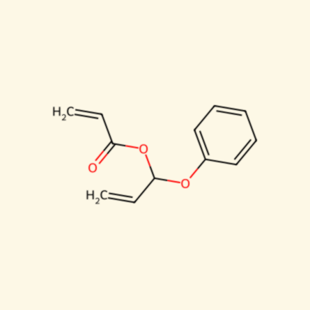 C=CC(=O)OC(C=C)Oc1ccccc1